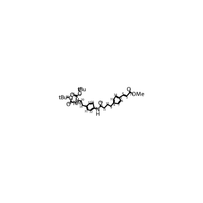 COC(=O)C=Cc1ccc(CCCC(=O)Nc2ccc(CCN(NC(=O)OC(C)(C)C)C(=O)OC(C)(C)C)cc2)cc1